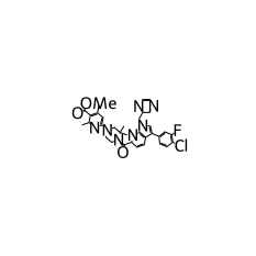 COC(=O)c1c(C)cc(N2CCN(C(=O)c3ccc4c(-c5ccc(Cl)c(F)c5)cn(Cc5cnccn5)c4n3)C(C)(C)C2)nc1C